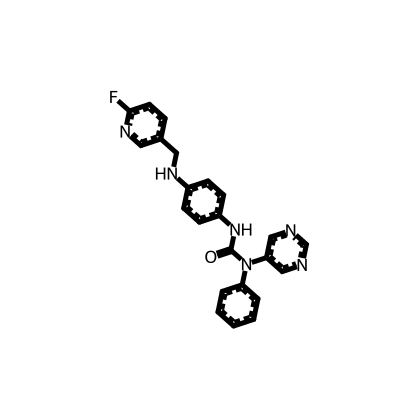 O=C(Nc1ccc(NCc2ccc(F)nc2)cc1)N(c1ccccc1)c1cncnc1